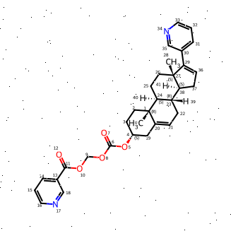 C[C@]12CC[C@H](OC(=O)OCOC(=O)c3cccnc3)CC1=CC[C@@H]1[C@@H]2CC[C@]2(C)C(c3cccnc3)=CC[C@@H]12